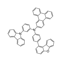 c1cc(N(c2ccc(-c3cccc4oc5ccccc5c34)cc2)c2ccc3c4ccccc4c4ccccc4c3c2)cc(-n2c3ccccc3c3ccccc32)c1